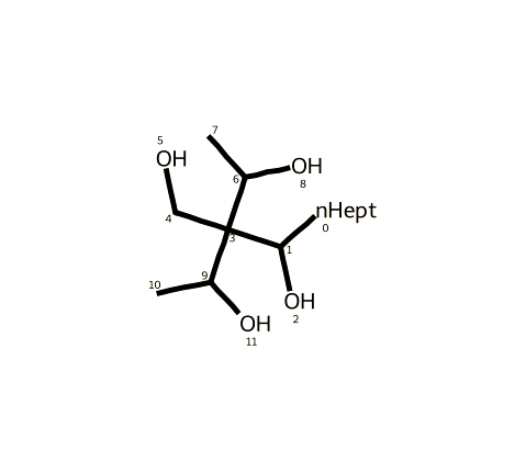 CCCCCCCC(O)C(CO)(C(C)O)C(C)O